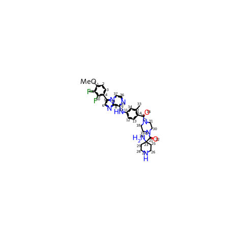 COc1ccc(-c2cnc3c(Nc4ccc(C(=O)N5CCN(C(=O)C6(N)CCNCC6)CC5)c(C)c4)nccn23)c(F)c1F